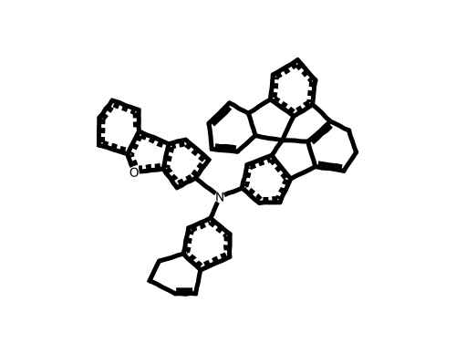 C1=CC2c3cccc4c3C3(C5=C4CCC=C5c4ccc(N(c5ccc6c(c5)CCC=C6)c5ccc6c(c5)oc5ccccc56)cc43)C2C=C1